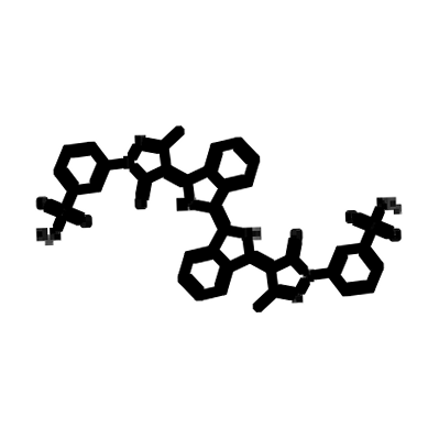 CC1=NN(c2cccc(S(N)(=O)=O)c2)C(=O)C1=c1[nH]c(=c2[nH]c(=C3C(=O)N(c4cccc(S(N)(=O)=O)c4)N=C3C)c3ccccc23)c2ccccc12